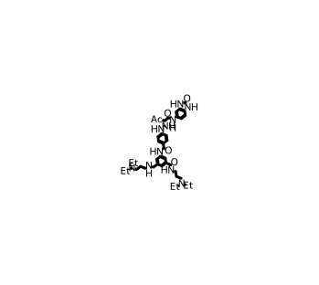 CCN(CC)CCCNCc1cc(NC(=O)c2ccc(NNC(C(C)=O)C(=O)Nc3ccc4[nH]c(=O)[nH]c4c3)cc2)cc(C(=O)NCCCN(CC)CC)c1